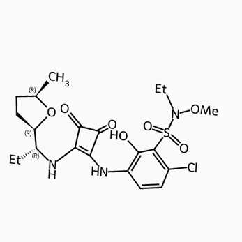 CC[C@@H](Nc1c(Nc2ccc(Cl)c(S(=O)(=O)N(CC)OC)c2O)c(=O)c1=O)[C@H]1CC[C@@H](C)O1